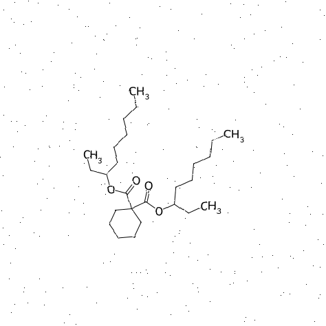 CCCCCCC(CC)OC(=O)C1(C(=O)OC(CC)CCCCCC)CCCCC1